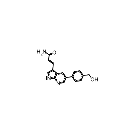 NC(=O)C=Cc1c[nH]c2ncc(-c3ccc(CO)cc3)cc12